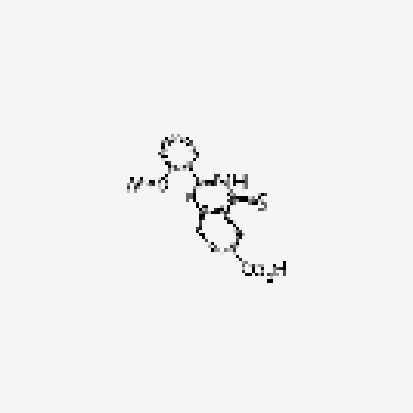 COc1ccccc1-c1nc2ccc(C(=O)O)cc2c(=S)[nH]1